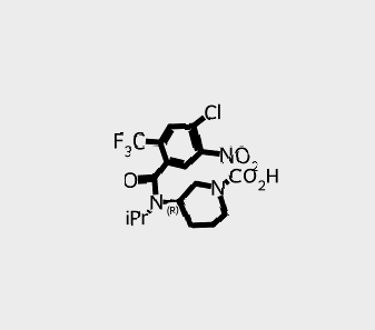 CC(C)N(C(=O)c1cc([N+](=O)[O-])c(Cl)cc1C(F)(F)F)[C@@H]1CCCN(C(=O)O)C1